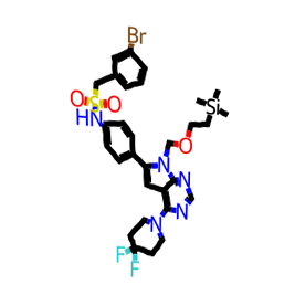 C[Si](C)(C)CCOCn1c(-c2ccc(NS(=O)(=O)Cc3cccc(Br)c3)cc2)cc2c(N3CCC(F)(F)CC3)ncnc21